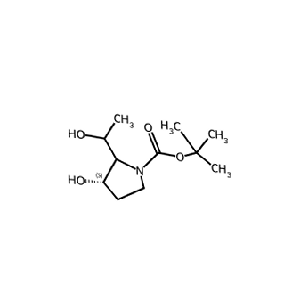 CC(O)C1[C@@H](O)CCN1C(=O)OC(C)(C)C